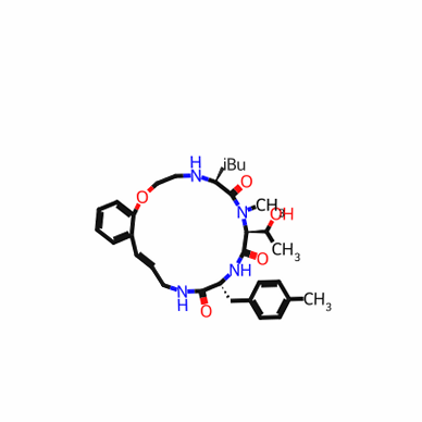 CCC(C)[C@@H]1NCCOc2ccccc2/C=C/CNC(=O)[C@@H](Cc2ccc(C)cc2)NC(=O)[C@H](C(C)O)N(C)C1=O